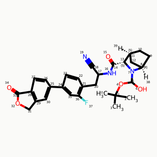 CC(C)(C)OC(O)N1[C@@H]2CC[C@@H](C2)[C@H]1C(=O)NC(C#N)Cc1ccc(-c2ccc3c(c2)COC3=O)cc1F